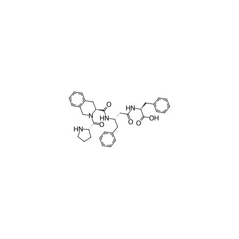 O=C(C[C@H](Cc1ccccc1)NC(=O)[C@@H]1Cc2ccccc2CN1C(=O)[C@@H]1CCCN1)N[C@@H](Cc1ccccc1)C(=O)O